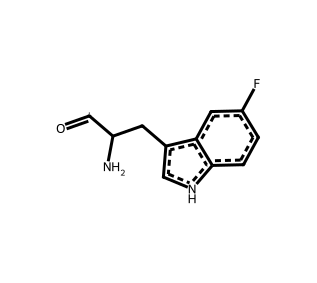 NC([C]=O)Cc1c[nH]c2ccc(F)cc12